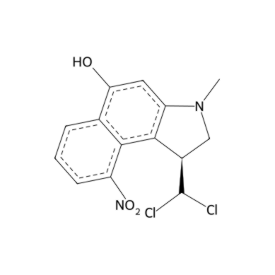 CN1C[C@@H](C(Cl)Cl)c2c1cc(O)c1cccc([N+](=O)[O-])c21